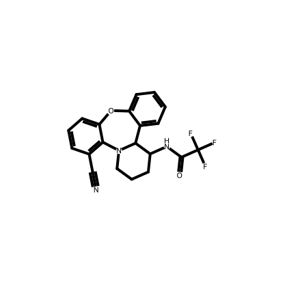 N#Cc1cccc2c1N1CCCC(NC(=O)C(F)(F)F)C1c1ccccc1O2